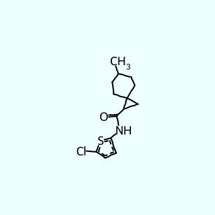 CC1CCC2(CC1)CC2C(=O)Nc1ccc(Cl)s1